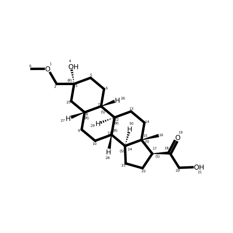 COC[C@@]1(O)CC[C@H]2[C@H](CC[C@@H]3[C@@H]2CC[C@]2(C)[C@@H](C(=O)CO)CC[C@@H]32)C1